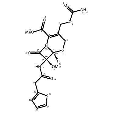 COC(=O)C1=C(COC(N)=O)CS[C@H]2N1C(=O)[C@]2(NC(=O)Cc1cccs1)OC